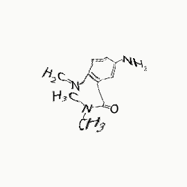 C=Nc1ccc(N)cc1C(=O)N(C)C